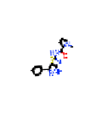 Cn1cccc1C(=O)Nc1nc2[nH]nc(-c3ccccc3)c2s1